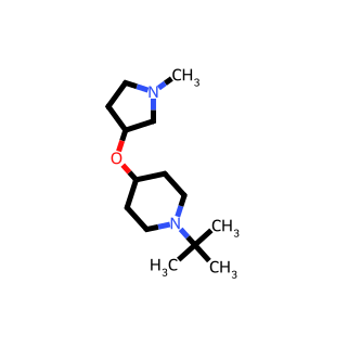 CN1CCC(OC2CCN(C(C)(C)C)CC2)C1